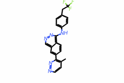 Cc1ccnnc1-c1ccc2c(Nc3ccc(CC(F)(F)F)cc3)nncc2c1